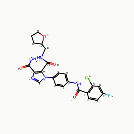 NC(=O)c1ncn(-c2ccc(NC(=O)c3ccc(F)cc3Cl)cc2)c1C(=O)NCC1CCCO1